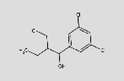 CCC(CCl)C(O)c1cc(Cl)cc(Cl)c1